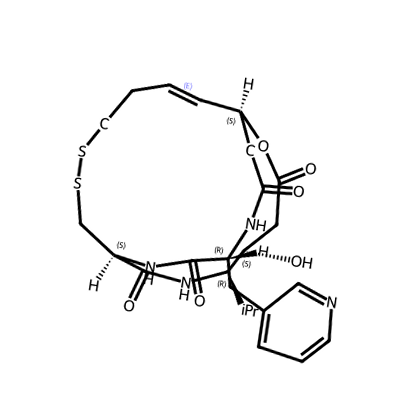 CC(C)[C@H]1NC(=O)[C@H]2CSSCC/C=C/[C@H](CC(=O)N[C@H](Cc3cccnc3)C(=O)N2)OC(=O)C[C@@H]1O